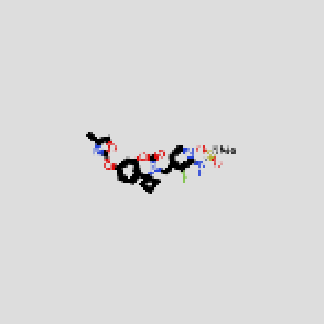 CNS(=O)(=O)Nc1nccc(CN2C(=O)Oc3cc(Oc4nc(C)co4)ccc3C23CCC3)c1F